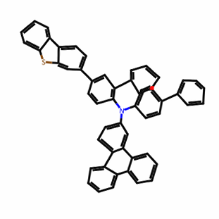 c1ccc(-c2ccc(N(c3ccc4c5ccccc5c5ccccc5c4c3)c3ccc(-c4ccc5c(c4)sc4ccccc45)cc3-c3ccccc3)cc2)cc1